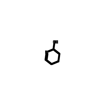 OC1CCCC=N1